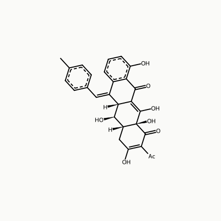 CC(=O)C1=C(O)C[C@@H]2[C@@H](O)[C@H]3C(=C(O)[C@]2(O)C1=O)C(=O)c1c(O)cccc1/C3=C\c1ccc(C)cc1